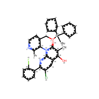 CC(C)c1nccc(CO[Si](c2ccccc2)(c2ccccc2)C(C)(C)C)c1-n1c(=O)c(C#N)c(O)c2cc(Cl)c(-c3ccccc3F)nc21